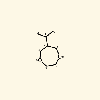 CC(C)C1COCCOC1